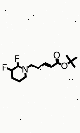 CC(C)(C)OC(=O)/C=C/CCN1CCCC(F)C1F